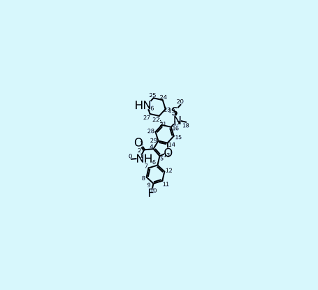 CNC(=O)c1c(-c2ccc(F)cc2)oc2cc(N(C)SC)c([C@H]3CCCNC3)cc12